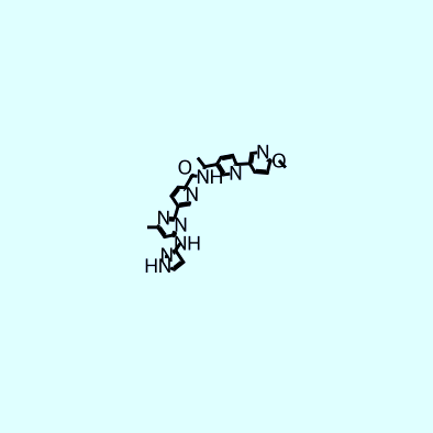 COc1ccc(-c2ccc(C(C)NC(=O)c3ccc(-c4nc(C)cc(Nc5cc[nH]n5)n4)cn3)cn2)cn1